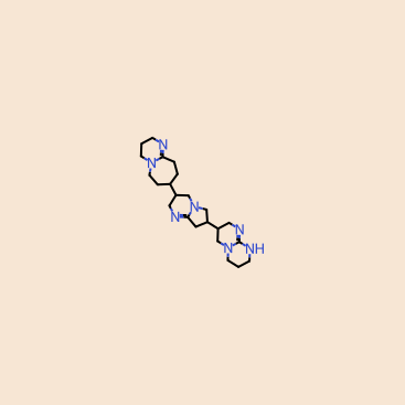 C1CN=C2CCC(C3CN=C4CC(C5CN=C6NCCCN6C5)CN4C3)CCN2C1